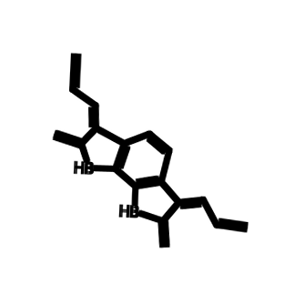 C=C/C=C1\C(=C)Bc2c1ccc1c2BC(=C)/C1=C\C=C